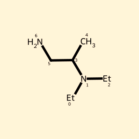 CCN(CC)C(C)CN